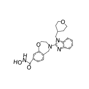 O=C(NO)c1ccc2c(c1)OCCN(c1nc3ccccc3n1CC1CCOCC1)C2